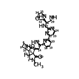 CN1CC(F)(C2CC3CCC32)[C@@H](/C(O)=C/C(=N)c2cccc(-c3ccnc(N/C(C=N)=C4\COCCN4)n3)n2)C1=O